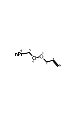 C=CCOOCCCC